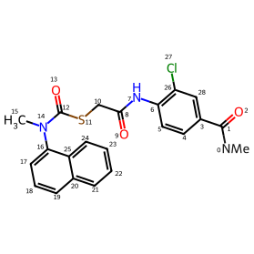 CNC(=O)c1ccc(NC(=O)CSC(=O)N(C)c2cccc3ccccc23)c(Cl)c1